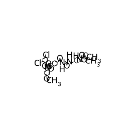 COc1ccc(N(Oc2ccc(Cl)cc2Cl)S(=O)(=O)c2ccc(C(=O)NCC(=O)NCC3CCN(C(=O)OC(C)(C)C)CC3)cc2)cc1